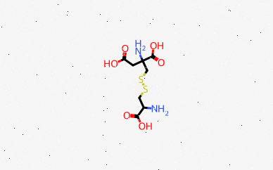 NC(CSSCC(N)(CC(=O)O)C(=O)O)C(=O)O